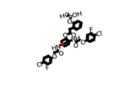 O=C(COc1ccc(Cl)c(F)c1)NC12CCC(NC(=O)COc3ccc(Cl)c(F)c3)(CC1)C(OC(=O)Cc1ccccc1OP(O)O)C2